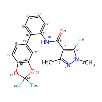 Cc1nn(C)c(F)c1C(=O)Nc1ccccc1-c1ccc2c(c1)OC(F)(F)O2